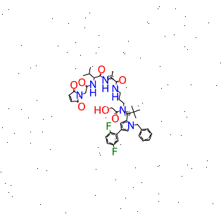 CC(C)C(NC(=O)CN1C(=O)C=CC1=O)C(=O)N[C@@H](C)C(=O)NCCCN(C(=O)CO)[C@@H](c1cc(-c2cc(F)ccc2F)cn1Cc1ccccc1)C(C)(C)C